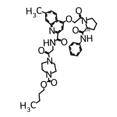 CCCCOC(=O)N1CCN(C(=O)CNC(=O)c2cc(OCC(=O)N3CCC[C@H]3C(=O)Nc3ccccc3)c3ccc(C)cc3n2)CC1